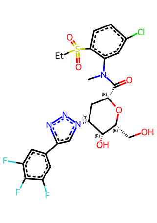 CCS(=O)(=O)c1ccc(Cl)cc1N(C)C(=O)[C@H]1C[C@@H](n2cc(-c3cc(F)c(F)c(F)c3)nn2)[C@@H](O)[C@@H](CO)O1